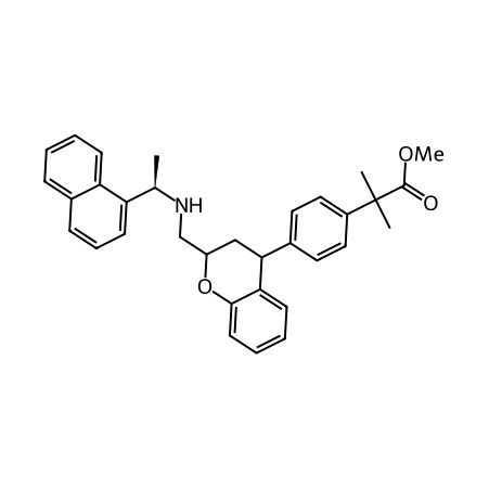 COC(=O)C(C)(C)c1ccc(C2CC(CN[C@H](C)c3cccc4ccccc34)Oc3ccccc32)cc1